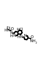 CCNC(=O)Nc1cc2cccc(Nc3ccc(C(N)=O)cn3)c2cn1.Cl